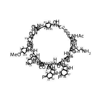 COc1ccc(C[C@@H]2NC(=O)[C@H](Cc3cnc[nH]3)NC(=O)[C@H](CC(=O)O)NC(=O)[C@H](Cc3c[nH]c4ccc(F)cc34)NC(=O)[C@H](Cc3c[nH]c4ccc(F)cc34)NC(=O)[C@@H](C)NC(=O)[C@H](CCCCN)NC(=O)[C@@H](NC(C)=O)CCCCCNC(=O)c3ccc(cc3)C[C@@H](C(N)=O)NC(=O)[C@]3(C)CCCN3C2=O)cc1